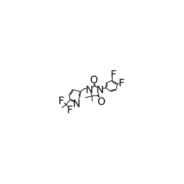 CC(F)(F)c1ccc(CN2C(=O)N(c3ccc(F)c(F)c3)C(=O)C2(C)C)cn1